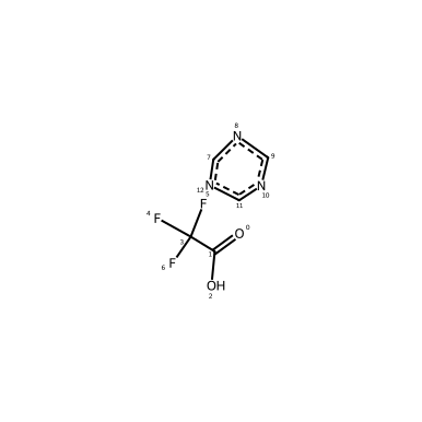 O=C(O)C(F)(F)F.c1ncncn1